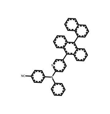 N#Cc1ccc(N(c2ccccc2)c2ccc(-c3c4ccccc4c(-c4cccc5ccccc45)c4ccccc34)cn2)cc1